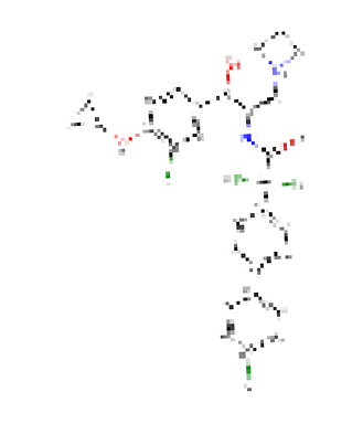 O=C(N[C@H](CN1CCC1)[C@H](O)c1ccc(OC2CC2)c(Cl)c1)C(F)(F)c1ccc(-c2ccc(F)cc2)cc1